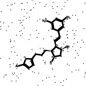 CC(=O)c1ccc(CCC[C@@H]2[C@@H](/C=C/c3cc(C)cc(C)c3)[C@H](O)C[C@H]2Cl)s1